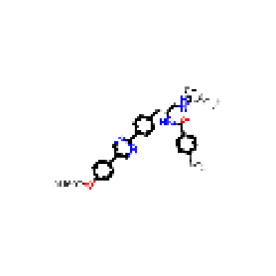 CCCCCCCOc1ccc(-c2cnc(-c3ccc(C[C@@H](CN[C@H](C)C(=O)O)NC(=O)c4ccc(C(F)(F)F)cc4)cc3)nc2)cc1